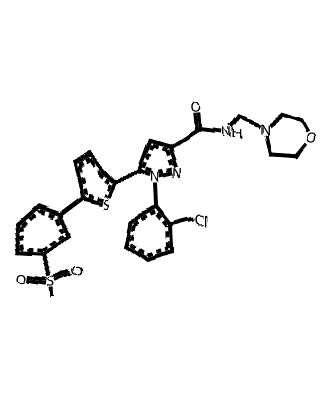 CS(=O)(=O)c1cccc(-c2ccc(-c3cc(C(=O)NCN4CCOCC4)nn3-c3ccccc3Cl)s2)c1